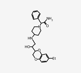 CCc1ccc2c(c1)OC(C(O)CNC1CCN(C(C(N)=O)c3ccccc3)CC1)CO2